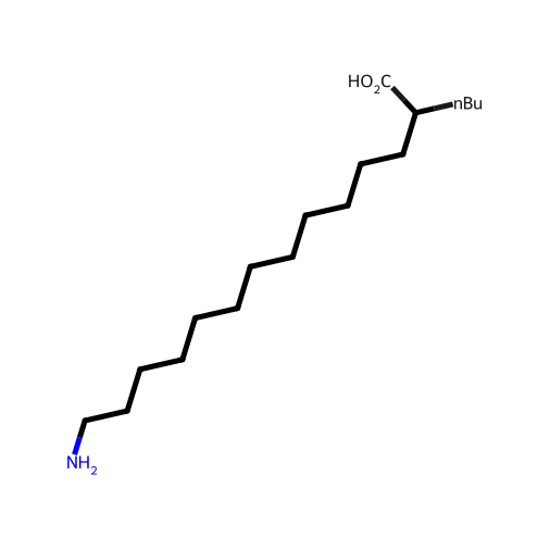 CCCCC(CCCCCCCCCCCCN)C(=O)O